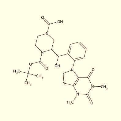 Cn1c(=O)c2c(ncn2-c2ccccc2C(O)C2CN(C(=O)O)CCN2C(=O)OC(C)(C)C)n(C)c1=O